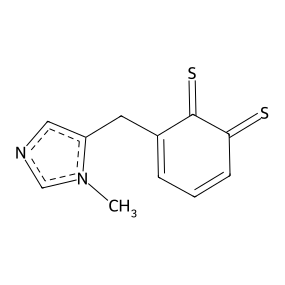 Cn1cncc1CC1=CC=CC(=S)C1=S